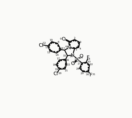 O=c1cccc2n1C(c1ccc(Cl)cc1)C(c1ccc(Cl)cc1)N2S(=O)(=O)c1ccc(F)cc1F